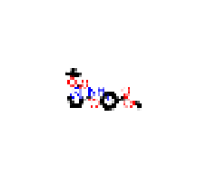 CCOC(=O)[C@H]1CC[C@H](OC(N)[C@@H]2CCCN2C(=O)OC(C)(C)C)CC1